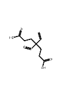 C=CC(CCC(=O)O)(CCC(=O)O)P=O